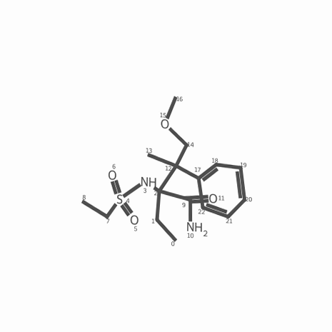 CCC(NS(=O)(=O)CC)(C(N)=O)C(C)(COC)c1ccccc1